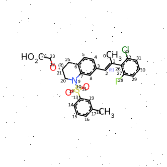 C/C(=C\c1ccc2c(c1)N(S(=O)(=O)c1cccc(C)c1)C[C@H](OCC(=O)O)C2)c1c(F)cccc1Cl